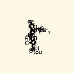 Cn1c(Nc2c(Cl)ccc(CNC(=O)C(C)(C)C)c2Cl)nc2cc(C(=O)NCC(F)(F)C(F)(F)F)c(N3CCC(F)(F)CC3)cc21